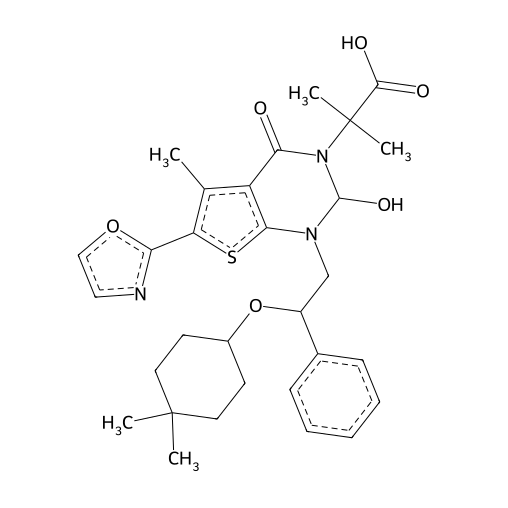 Cc1c(-c2ncco2)sc2c1C(=O)N(C(C)(C)C(=O)O)C(O)N2CC(OC1CCC(C)(C)CC1)c1ccccc1